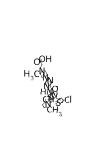 C[C@@H]1CC[C@@H](C)N1Cc1sc(NC(=O)c2cnc(N3CCN(CCC(=O)O)[C@@H](C)C3)cn2)nc1-c1cc(Cl)cs1